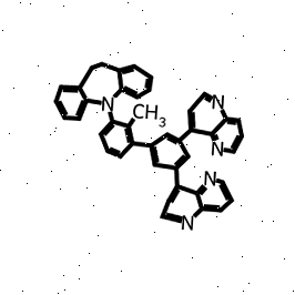 Cc1c(-c2cc(-c3ccnc4cccnc34)cc(-c3ccnc4cccnc34)c2)cccc1N1c2ccccc2CCc2ccccc21